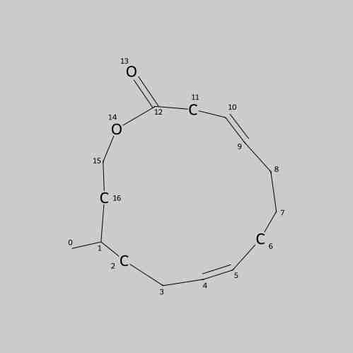 CC1CCC=CCCC/C=C/CC(=O)OCC1